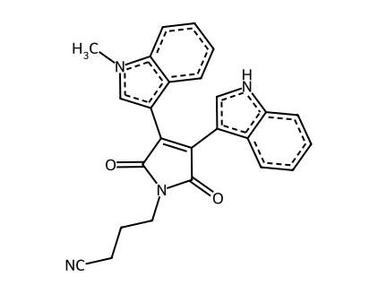 Cn1cc(C2=C(c3c[nH]c4ccccc34)C(=O)N(CCCC#N)C2=O)c2ccccc21